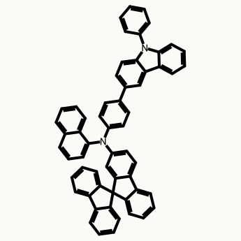 c1ccc(-n2c3ccccc3c3cc(-c4ccc(N(c5ccc6c(c5)C5(c7ccccc7-c7ccccc75)c5ccccc5-6)c5cccc6ccccc56)cc4)ccc32)cc1